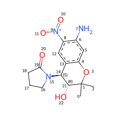 CC1(C)Oc2cc(N)c([N+](=O)[O-])cc2[C@H](N2CCCC2=O)[C@H]1O